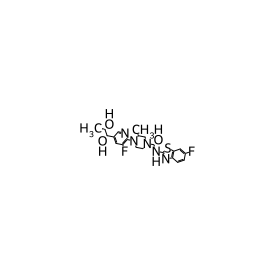 C[C@@H](O)[C@H](O)c1cnc(N2CCN(C(O)Nc3nc4ccc(F)cc4s3)C[C@@H]2C)c(F)c1